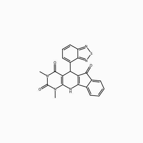 Cn1c2c(c(=O)n(C)c1=O)C(c1cccc3nsnc13)C1=C(N2)c2ccccc2C1=O